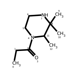 CCC(=O)N1CCNC(C)(C)C1C